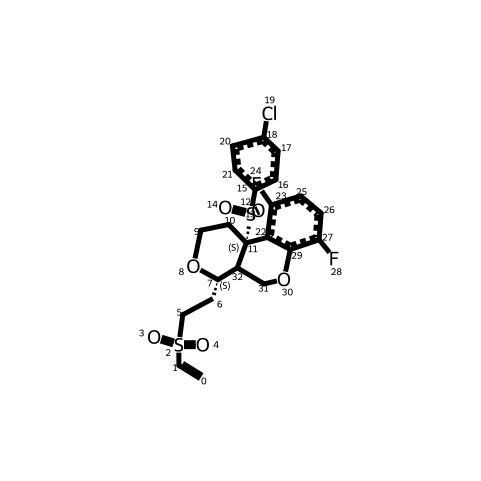 C=CS(=O)(=O)CC[C@@H]1OCC[C@@]2(S(=O)(=O)c3ccc(Cl)cc3)c3c(F)ccc(F)c3OCC12